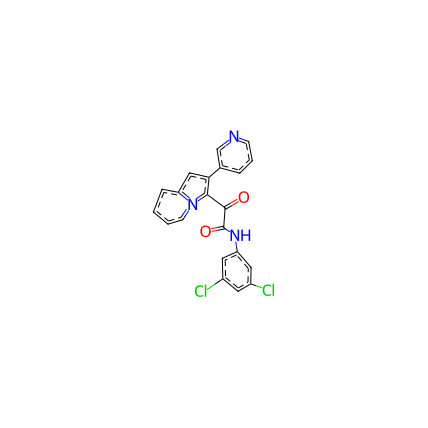 O=C(Nc1cc(Cl)cc(Cl)c1)C(=O)c1c(-c2cccnc2)cc2ccccn12